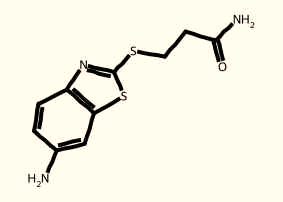 NC(=O)CCSc1nc2ccc(N)cc2s1